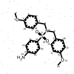 COc1ccc(CN(Cc2ccc(OC)cc2)S(=O)(=O)c2ccc(N)cc2)cc1